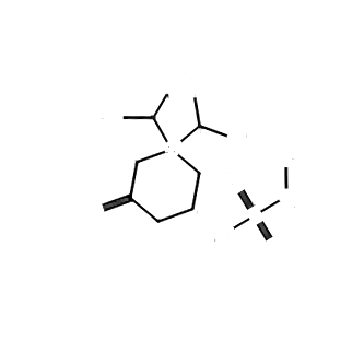 CC(C)[N+]1(C(C)C)CCCC(=O)C1.COS(=O)(=O)[O-]